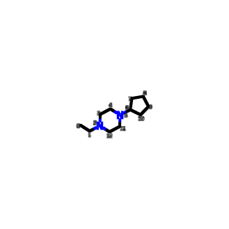 CCN1CCN(C2CCCC2)CC1